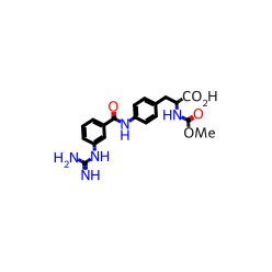 COC(=O)NC(Cc1ccc(NC(=O)c2cccc(NC(=N)N)c2)cc1)C(=O)O